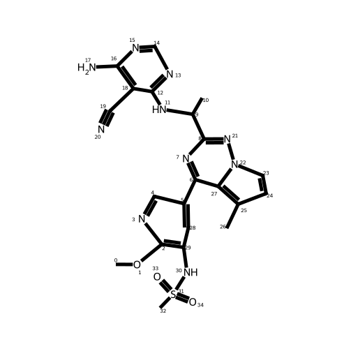 COc1ncc(-c2nc(C(C)Nc3ncnc(N)c3C#N)nn3ccc(C)c23)cc1NS(C)(=O)=O